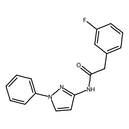 O=C(Cc1cccc(F)c1)Nc1ccn(-c2ccccc2)n1